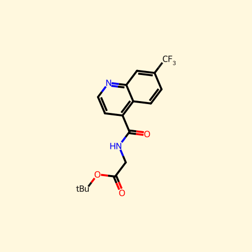 CC(C)(C)OC(=O)CNC(=O)c1ccnc2cc(C(F)(F)F)ccc12